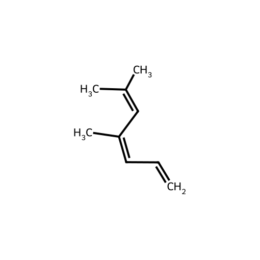 C=C/C=C(/C)C=C(C)C